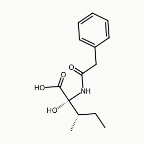 CC[C@H](C)[C@](O)(NC(=O)Cc1ccccc1)C(=O)O